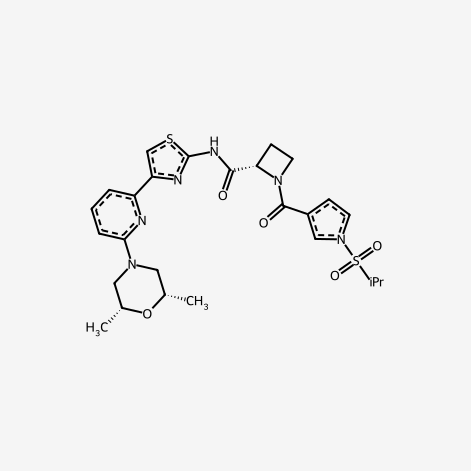 CC(C)S(=O)(=O)n1ccc(C(=O)N2CC[C@H]2C(=O)Nc2nc(-c3cccc(N4C[C@@H](C)O[C@@H](C)C4)n3)cs2)c1